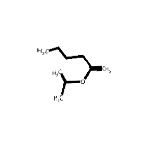 C=C(CCCC)OC(C)C